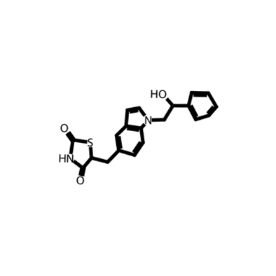 O=C1NC(=O)C(Cc2ccc3c(ccn3CC(O)c3ccccc3)c2)S1